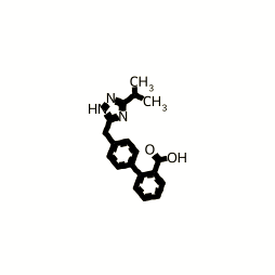 CC(C)c1n[nH]c(Cc2ccc(-c3ccccc3C(=O)O)cc2)n1